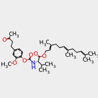 COc1cc(CCC(C)=O)ccc1OC(=O)N[C@H](C(=O)OC/C=C(\C)CC/C=C(\C)CCC=C(C)C)C(C)C